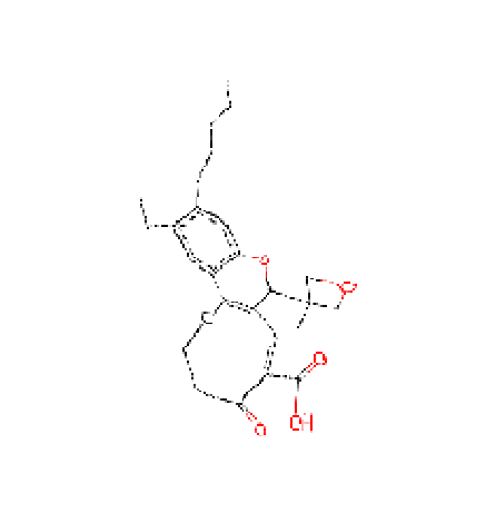 CCCCCc1cc2c(cc1CC)C1=C(/C=C(/C(=O)O)C(=O)CCCC1)C(C1(C)COC1)O2